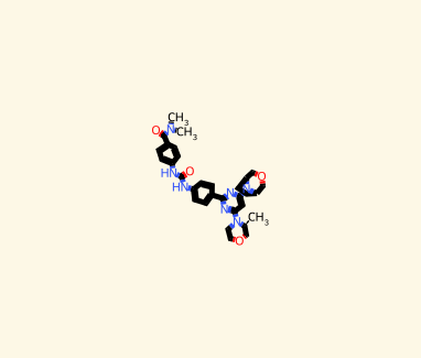 C[C@@H]1COCCN1c1cc(N2C3CCC2COC3)nc(-c2ccc(NC(=O)Nc3ccc(C(=O)N(C)C)cc3)cc2)n1